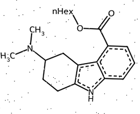 CCCCCCOC(=O)c1cccc2[nH]c3c(c12)CC(N(C)C)CC3